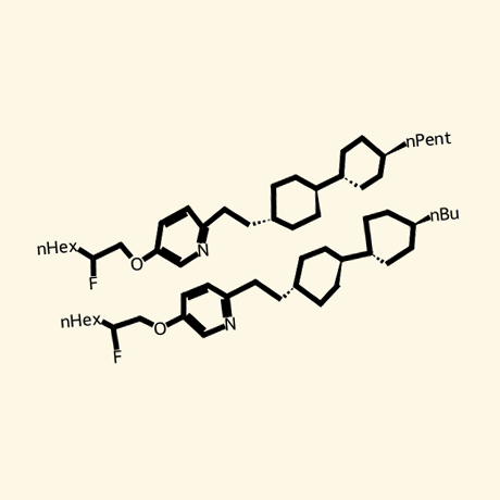 CCCCCCC(F)COc1ccc(CC[C@H]2CC[C@H]([C@H]3CC[C@H](CCCC)CC3)CC2)nc1.CCCCCCC(F)COc1ccc(CC[C@H]2CC[C@H]([C@H]3CC[C@H](CCCCC)CC3)CC2)nc1